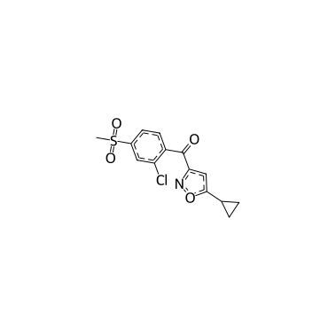 CS(=O)(=O)c1ccc(C(=O)c2cc(C3CC3)on2)c(Cl)c1